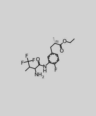 CCOC(=O)[C@@H](C)Cc1ccc(F)c(NC(=O)C(N)C(C)C(F)(F)F)c1